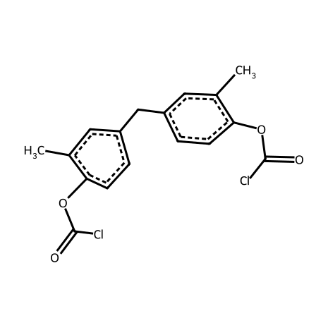 Cc1cc(Cc2ccc(OC(=O)Cl)c(C)c2)ccc1OC(=O)Cl